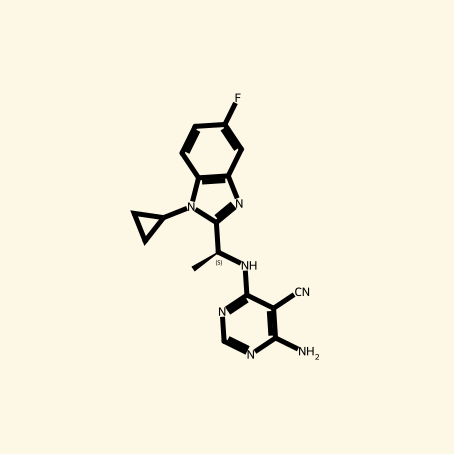 C[C@H](Nc1ncnc(N)c1C#N)c1nc2cc(F)ccc2n1C1CC1